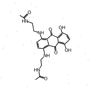 CC(=O)NCCNc1ccc(NCCNC(C)=O)c2c1C(=O)c1c(O)ccc(O)c1C2=O